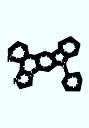 c1ccc(-n2c3ccccc3c3cc4c5cccnc5c5nccn5c4cc32)cc1